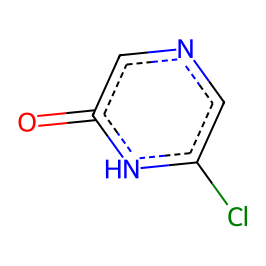 O=c1cncc(Cl)[nH]1